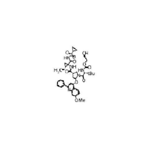 C#CCOC(=O)N[C@H](C(=O)N1C[C@H](C(=O)N[C@]2(C(=O)NS(=O)(=O)C3CC3)C[C@H]2C=C)C[C@@H]1Oc1cc(-c2ccccc2)nc2cc(OC)ccc12)C(C)(C)C